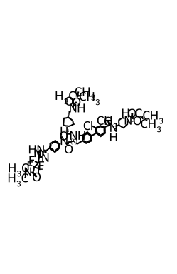 Cc1c(C(=O)NC2CCN(C(=O)OC(C)(C)C)CC2)ccc(-c2ccc(C[C@H](NC(=O)[C@H]3CC[C@H](CNC(=O)OC(C)(C)C)CC3)C(=O)Nc3ccc(-c4nc(C(F)(F)C(F)(F)C(=O)N(C)C)n[nH]4)cc3)cc2)c1Cl